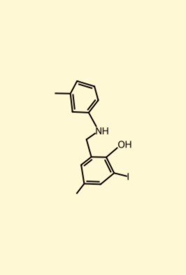 Cc1cccc(NCc2cc(C)cc(I)c2O)c1